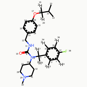 [2H]c1c([2H])c(C([2H])([2H])N(C(=O)NCc2ccc(OC([2H])([2H])C(C)C)cc2)C2CCN(C)CC2)c([2H])c([2H])c1F